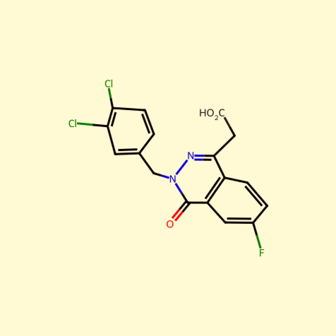 O=C(O)Cc1nn(Cc2ccc(Cl)c(Cl)c2)c(=O)c2cc(F)ccc12